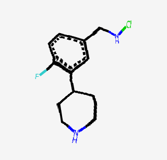 Fc1ccc(CNCl)cc1C1CCNCC1